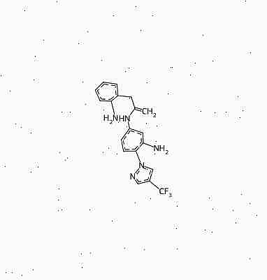 C=C(Cc1ccccc1N)Nc1ccc(-n2cc(C(F)(F)F)cn2)c(N)c1